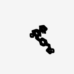 O=c1ccc(-n2cccn2)nn1CC1CCN(CC2CCO2)CC1